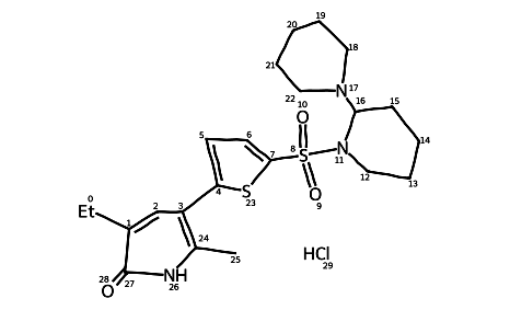 CCc1cc(-c2ccc(S(=O)(=O)N3CCCCC3N3CCCCC3)s2)c(C)[nH]c1=O.Cl